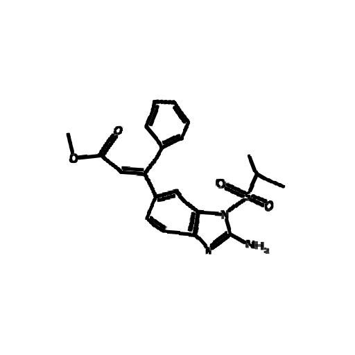 COC(=O)/C=C(\c1ccccc1)c1ccc2nc(N)n(S(=O)(=O)C(C)C)c2c1